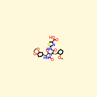 COc1ccccc1C[C@@H](C(=O)Nc1nc(C(=O)O)cs1)N1C(=O)NC(c2ccc3c(c2)OCCO3)C1=O